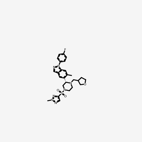 Cc1cc2c(cnn2-c2ccc(F)cc2)cc1[C@H]1CN(S(=O)(=O)c2cnn(C)n2)CCN1CC1CCOC1